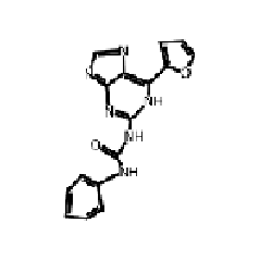 O=C(Nc1ccccc1)Nc1nc2ncnc-2c(-c2ccco2)[nH]1